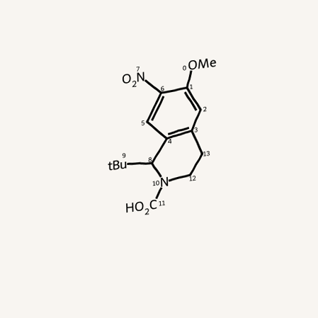 COc1cc2c(cc1[N+](=O)[O-])C(C(C)(C)C)N(C(=O)O)CC2